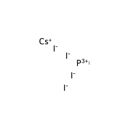 [Cs+].[I-].[I-].[I-].[I-].[P+3]